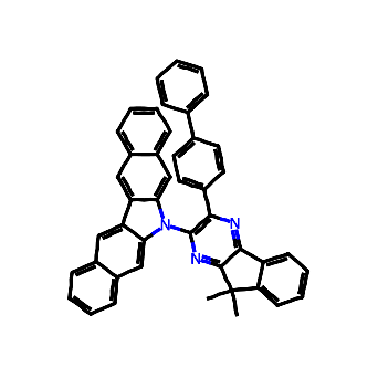 CC1(C)c2ccccc2-c2nc(-c3ccc(-c4ccccc4)cc3)c(-n3c4cc5ccccc5cc4c4cc5ccccc5cc43)nc21